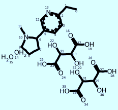 CCc1ccc(C2CCCN2C)cn1.O.O.O=C(O)C(O)C(O)C(=O)O.O=C(O)C(O)C(O)C(=O)O